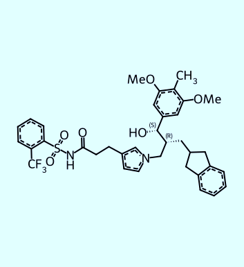 COc1cc([C@@H](O)[C@H](CC2Cc3ccccc3C2)Cn2ccc(CCC(=O)NS(=O)(=O)c3ccccc3C(F)(F)F)c2)cc(OC)c1C